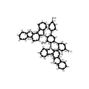 CC(C)c1c(-n2c3ccccc3c3c4sc5ccccc5c4ccc32)c(-c2ccc(F)cc2)cc(-c2ccc(F)cc2)c1-n1c2ccccc2c2c3sc4ccccc4c3ccc21